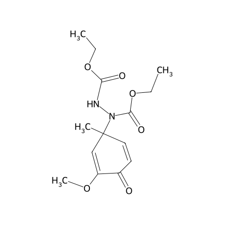 CCOC(=O)NN(C(=O)OCC)C1(C)C=CC(=O)C(OC)=C1